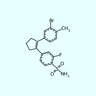 Cc1ccc(C2=C(c3ccc(S(N)(=O)=O)c(F)c3)CCC2)cc1Br